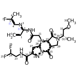 C=C/C(=N\C=C(/C)F)NC(=O)Cn1c2c(c(=O)n3nc(C(=O)NCC(F)F)cc13)CN([C@@H](C)COC)C2=O